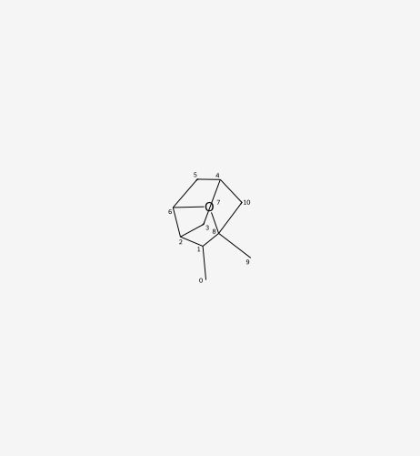 CC1C2CC3CC2OC1(C)C3